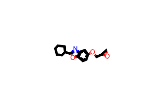 c1cc2oc(C3CCCCC3)nc2cc1OCC1CO1